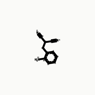 N#CC(C#N)Cc1ccccc1N